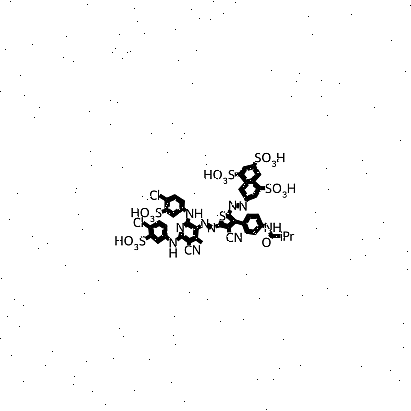 Cc1c(C#N)c(Nc2ccc(Cl)c(S(=O)(=O)O)c2)nc(Nc2ccc(Cl)c(S(=O)(=O)O)c2)c1N=Nc1sc(N=Nc2cc(S(=O)(=O)O)c3cc(S(=O)(=O)O)cc(S(=O)(=O)O)c3c2)c(-c2ccc(NC(=O)C(C)C)cc2)c1C#N